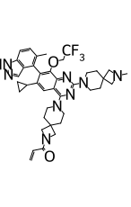 C=CC(=O)N1CC2(CCN(c3nc(N4CCC5(CC4)CN(C)C5)nc4c(OCC(F)(F)F)c(-c5c(C)ccc6[nH]ncc56)c(C5CC5)cc34)CC2)C1